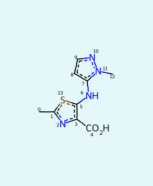 Cc1nc(C(=O)O)c(Nc2ccnn2C)s1